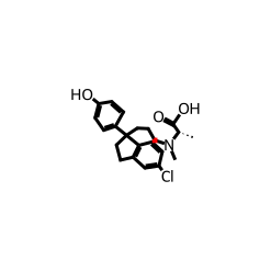 C[C@@H](C(=O)O)N(C)CCCC1(c2ccc(O)cc2)CCc2cc(Cl)ccc21